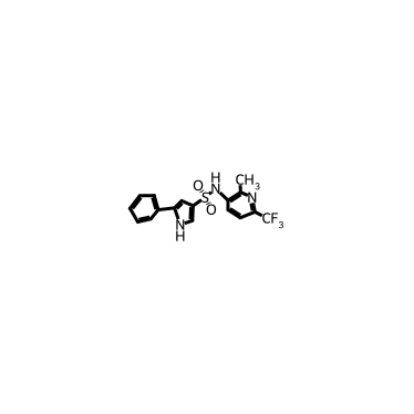 Cc1nc(C(F)(F)F)ccc1NS(=O)(=O)c1c[nH]c(-c2ccccc2)c1